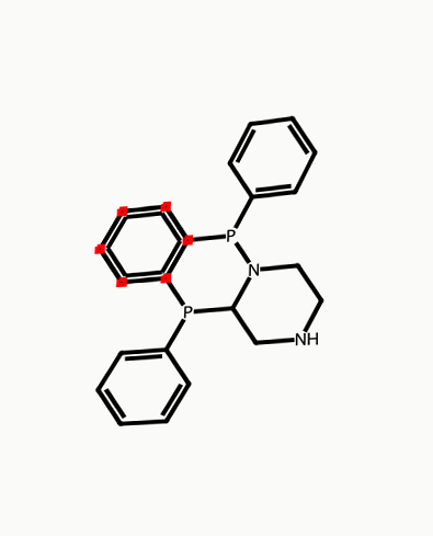 c1ccc(P(c2ccccc2)C2CNCCN2P(c2ccccc2)c2ccccc2)cc1